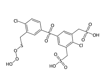 O=S(=O)(O)Cc1cc(S(=O)(=O)c2ccc(Cl)c(CSOOO)c2)cc(CS(=O)(=O)O)c1Cl